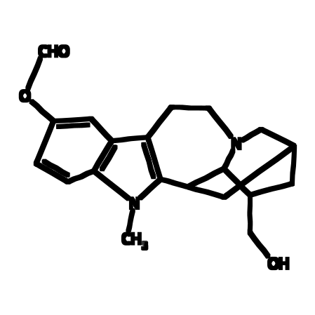 Cn1c2c(c3cc(OC=O)ccc31)CCN1CC3CC(CO)C1C2C3